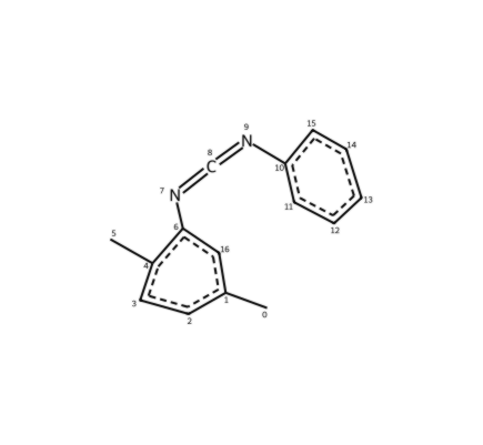 Cc1ccc(C)c(N=C=Nc2ccccc2)c1